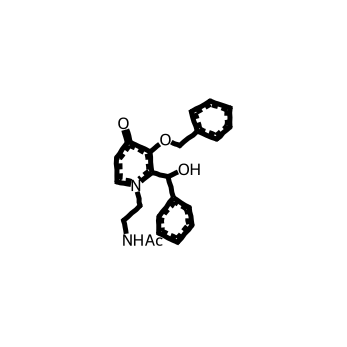 CC(=O)NCCn1ccc(=O)c(OCc2ccccc2)c1C(O)c1ccccc1